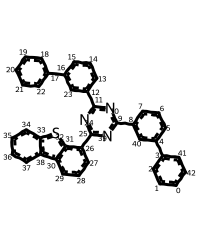 c1ccc(-c2cccc(-c3nc(-c4cccc(-c5ccccc5)c4)nc(-c4cccc5c4sc4ccccc45)n3)c2)cc1